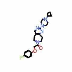 O=C(COc1ccc(F)cc1)N1CCc2cnc(N3CCN(C4CCC4)CC3)nc2CC1